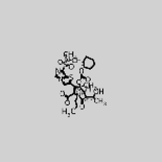 CCC[N+]12C(=O)[C@H]([C@@H](C)O)[C@@H]1[C@@](C)(OC(=O)OC1CCCCC1)C(c1cn3cnc(S(=O)(=O)N(C)C)c3s1)=C2C(=O)[O-]